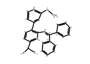 COc1cc(-c2ccc(C(F)F)nc2N=C(c2ccccc2)c2ccccc2)ccn1